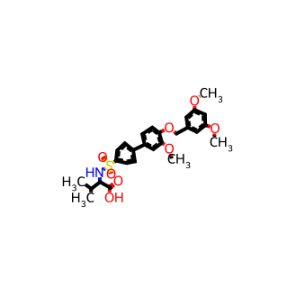 COc1cc(COc2ccc(-c3ccc(S(=O)(=O)NC(C(=O)O)C(C)C)cc3)cc2OC)cc(OC)c1